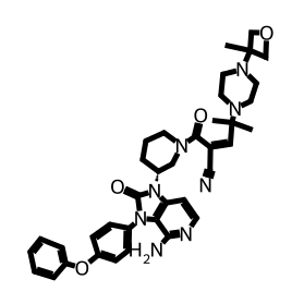 CC(C)(/C=C(/C#N)C(=O)N1CCC[C@@H](n2c(=O)n(-c3ccc(Oc4ccccc4)cc3)c3c(N)nccc32)C1)N1CCN(C2(C)COC2)CC1